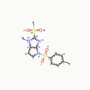 Cc1ccc(S(=O)(=O)n2ccc3c2nc(S(C)(=O)=O)n3C)cc1